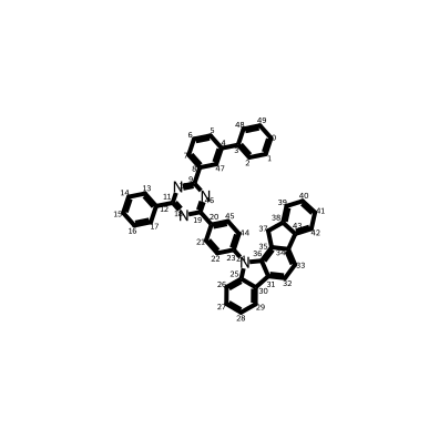 c1ccc(-c2cccc(-c3nc(-c4ccccc4)nc(-c4ccc(-n5c6ccccc6c6ccc7c(c65)Cc5ccccc5-7)cc4)n3)c2)cc1